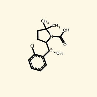 CC1(C)CCC([C@H](O)c2ccccc2Cl)N1C(=O)O